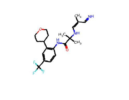 C/C(C=N)=C/NC(C)(C)C(=O)Nc1ccc(C(F)(F)F)cc1C1CCOCC1